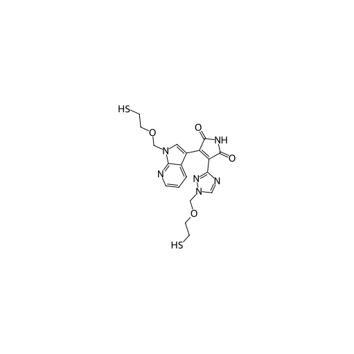 O=C1NC(=O)C(c2cn(COCCS)c3ncccc23)=C1c1ncn(COCCS)n1